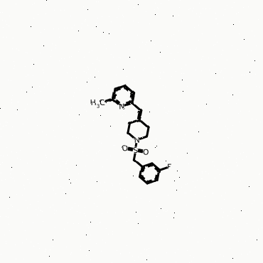 Cc1cccc(C=C2CCN(S(=O)(=O)Cc3cccc(F)c3)CC2)n1